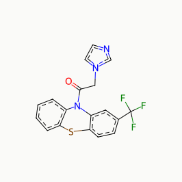 O=C(Cn1ccnc1)N1c2ccccc2Sc2ccc(C(F)(F)F)cc21